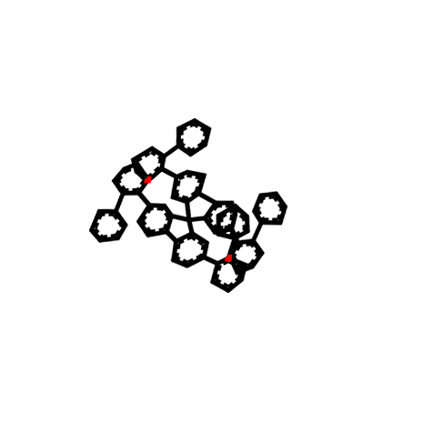 c1ccc(-c2ccccc2-c2ccc3c(c2)C2(c4cc(-c5ccccc5-c5ccccc5)ccc4-3)c3cc(-c4ccccc4-c4ccccc4)ccc3-c3ccc(-c4ccccc4-c4ccccc4)cc32)cc1